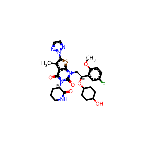 COc1ccc(F)cc1[C@H](Cn1c(=O)n([C@@H]2CCCNC2=O)c(=O)c2c(C)c(-n3nccn3)sc21)OC1CCC(O)CC1